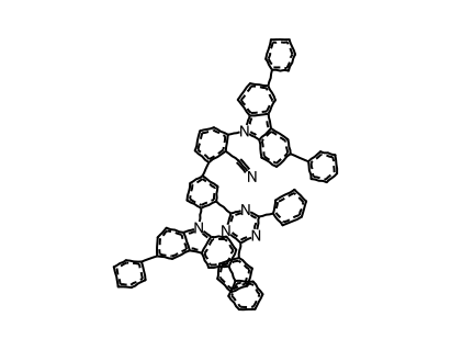 N#Cc1c(-c2ccc(-n3c4ccc(-c5ccccc5)cc4c4cc(-c5ccccc5)ccc43)c(-c3nc(-c4ccccc4)nc(-c4ccccc4)n3)c2)cccc1-n1c2ccc(-c3ccccc3)cc2c2cc(-c3ccccc3)ccc21